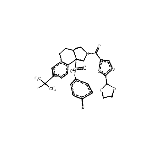 O=C(c1cnc(C2OCCO2)s1)N1CC2CCc3cc(C(F)(C(F)(F)F)C(F)(F)F)ccc3C2(S(=O)(=O)c2ccc(F)cc2)C1